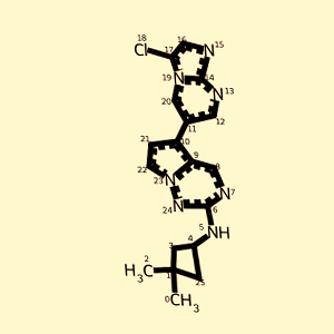 CC1(C)CC(Nc2ncc3c(-c4cnc5ncc(Cl)n5c4)ccn3n2)C1